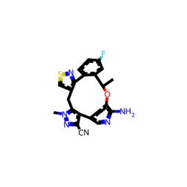 CC1Oc2cc(cnc2N)-c2c(C#N)nn(C)c2Cc2csnc2-c2ccc(F)cc21